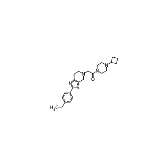 CCc1ccc(-c2nc3c(s2)CN(CC(=O)N2CCN(C4CCC4)CC2)CC3)cc1